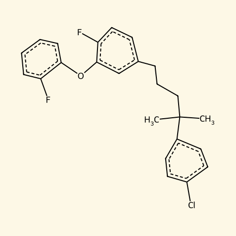 CC(C)(CCCc1ccc(F)c(Oc2ccccc2F)c1)c1ccc(Cl)cc1